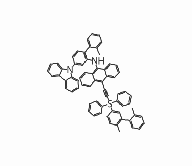 Cc1ccccc1-c1cc(S(C#Cc2c3ccccc3c(Nc3cc(-n4c5ccccc5c5ccccc54)ccc3-c3ccccc3C)c3ccccc23)(c2ccccc2)c2ccccc2)ccc1C